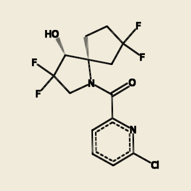 O=C(c1cccc(Cl)n1)N1CC(F)(F)[C@H](O)[C@]12CCC(F)(F)C2